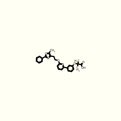 Cc1oc(-c2ccccc2)nc1CCOc1cccc(-c2cccc(OC(C)(C)C(=O)O)c2)n1